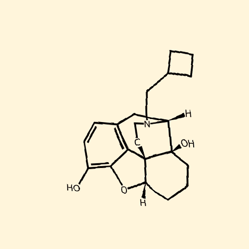 Oc1ccc2c3c1O[C@H]1CCC[C@@]4(O)[C@@H](C2)N(CC2CCC2)CC[C@]314